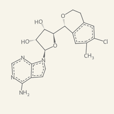 Cc1cc2c(cc1Cl)CCO[C@H]2[C@H]1O[C@@H](n2ccc3c(N)ncnc32)[C@H](O)[C@@H]1O